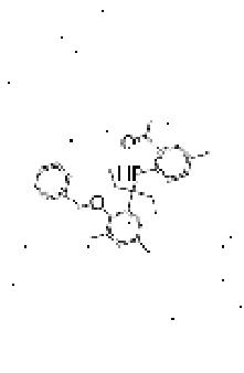 CCC(CC)(Pc1ccc(C)cc1C(C)=O)c1cc(C)cc(C)c1OCc1ccccc1